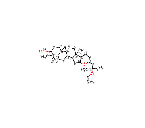 CCOC(C)(C)CC1CCC2C(CC3C4CCC5C(C)(C)C(O)CCC56CC46CCC23C)O1